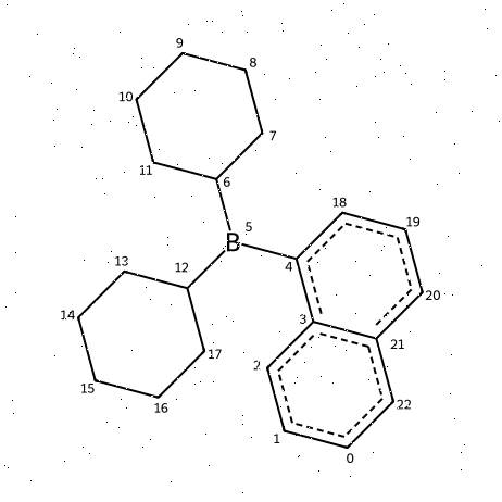 c1ccc2c(B(C3CCCCC3)C3CCCCC3)cccc2c1